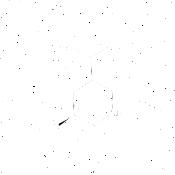 CC(S)C1CNC[C@@H](F)C1